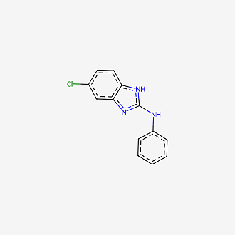 Clc1ccc2[nH]c(Nc3ccccc3)nc2c1